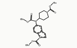 CC(C)(C)OC(=O)N1CCC(N(C(=O)OC(C)(C)C)c2ccc3c(ccn3C(=O)OC(C)(C)C)c2)CC1